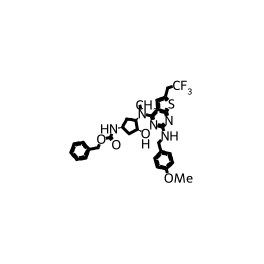 COc1ccc(CNc2nc(N(C)[C@H]3C[C@@H](NC(=O)OCc4ccccc4)C[C@H]3O)c3cc(CC(F)(F)F)sc3n2)cc1